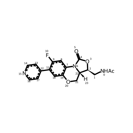 CC(=O)NC[C@@H]1OC(=O)N2c3cc(F)c(-c4ccncc4)cc3OC[C@@H]12